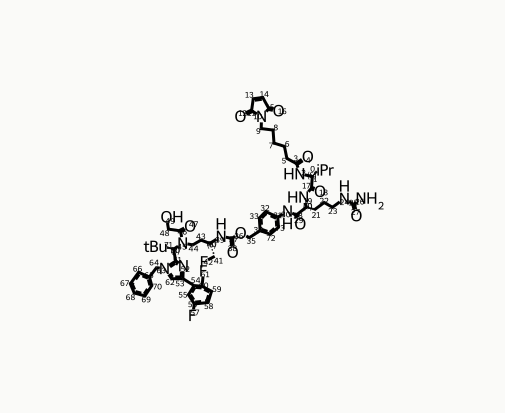 CC(C)[C@H](NC(=O)CCCCCN1C(=O)C=CC1=O)C(=O)N[C@@H](CCCNC(N)=O)C(=O)Nc1ccc(COC(=O)N[C@H](CF)CCN(C(=O)CO)[C@@H](c2nc(-c3cc(F)ccc3F)cn2Cc2ccccc2)C(C)(C)C)cc1